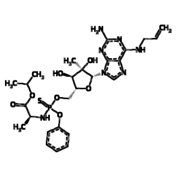 C=CCNc1nc(N)nc2c1ncn2[C@@H]1O[C@H](COP(=S)(N[C@@H](C)C(=O)OC(C)C)Oc2ccccc2)[C@@H](O)[C@@]1(C)O